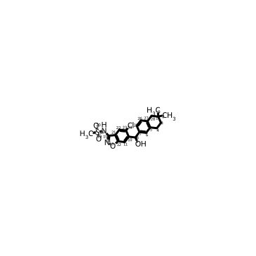 CC1(C)CCc2cc(C(O)c3cc4onc(NS(C)(=O)=O)c4cc3Cl)ccc2C1